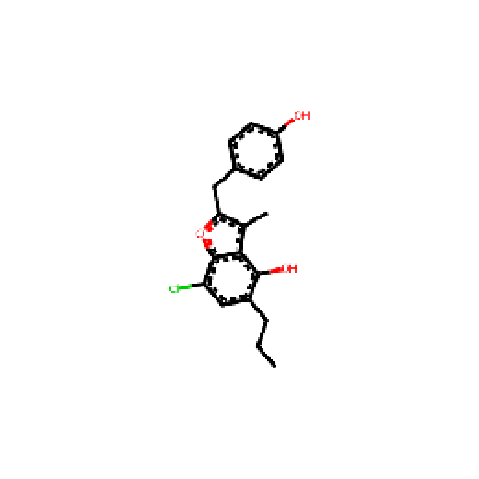 CCCc1cc(Cl)c2oc(Cc3ccc(O)cc3)c(C)c2c1O